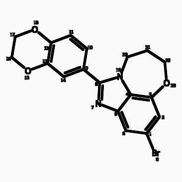 Brc1cc2c3c(c1)nc(-c1ccc4c(c1)OCCO4)n3CCCO2